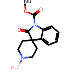 BN1CCC2(CC1)C(=O)N(C(=O)OC(C)(C)C)c1ccccc12